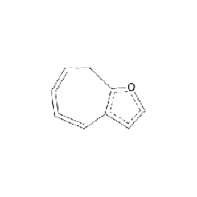 C1=C=Cc2ccoc2CC=1